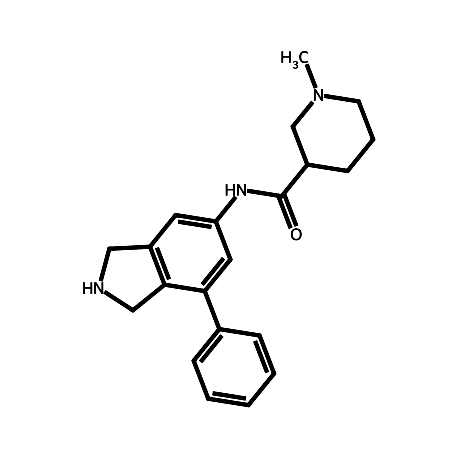 CN1CCCC(C(=O)Nc2cc3c(c(-c4ccccc4)c2)CNC3)C1